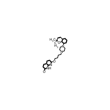 CC1(C)C=Cc2cccc(N3CCN(CCCCOc4ccc5ccc(=O)[nH]c5n4)CC3)c2O1